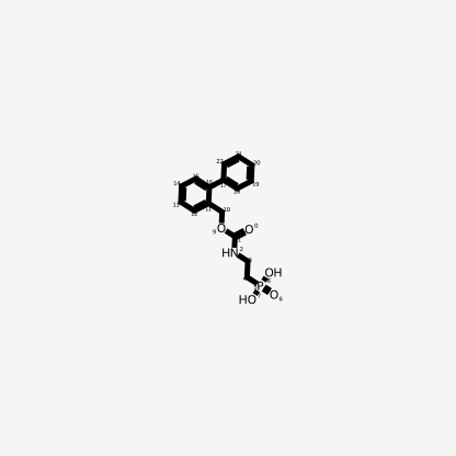 O=C(NCCP(=O)(O)O)OCc1ccccc1-c1ccccc1